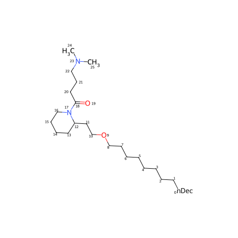 CCCCCCCCCCCCCCCCCCOCCC1CCCCN1C(=O)CCCN(C)C